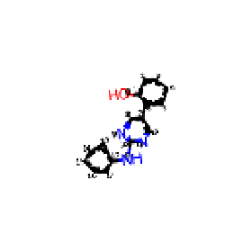 Oc1ccccc1-c1cnc(Nc2ccccc2)nc1